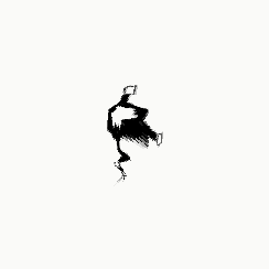 [N]OCc1ccc(Cl)cc1Cl